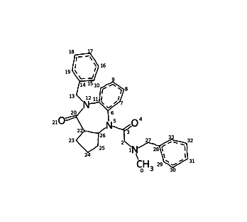 CN(CC(=O)N1c2ccccc2N(Cc2ccccc2)C(=O)C2CCCC21)Cc1ccccc1